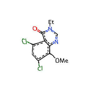 CCn1cnc2c(OC)c(Cl)cc(Cl)c2c1=O